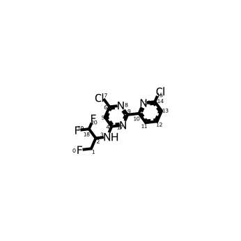 FCC(Nc1cc(Cl)nc(-c2cccc(Cl)n2)n1)C(F)F